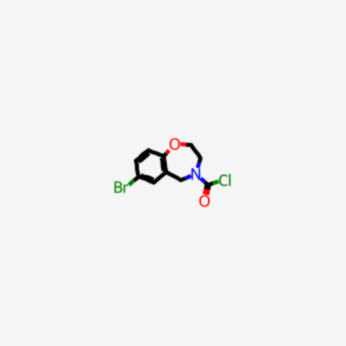 O=C(Cl)N1CCOc2ccc(Br)cc2C1